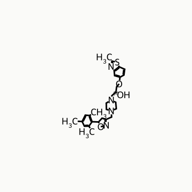 Cc1cc(C)c(C2CC(CN3CCN(C[C@@H](O)COc4ccc5sc(C)nc5c4)CC3)=NO2)c(C)c1